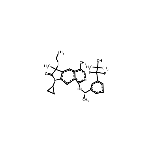 CCOC1(C)C(=O)N(C2CC2)c2cc3c(N[C@H](C)c4cccc(C(F)(F)C(C)(C)O)c4)nnc(C)c3cc21